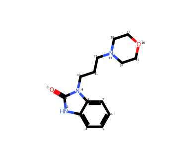 O=c1[nH]c2ccccc2n1CCCN1CCOCC1